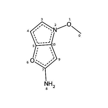 COn1ccc2oc(N)cc21